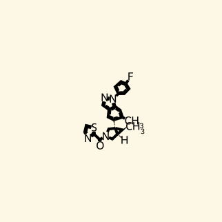 Cc1cc2c(cnn2-c2ccc(F)cc2)cc1[C@@]12CN(C(=O)c3nccs3)C[C@@H]1[C@H]2C